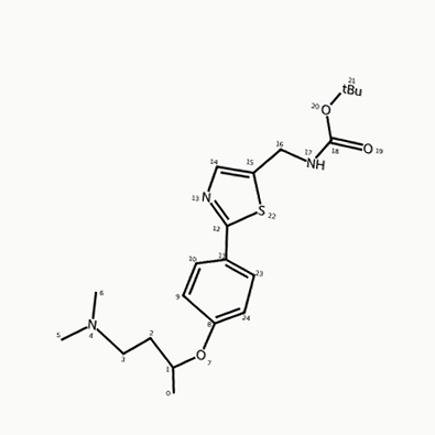 CC(CCN(C)C)Oc1ccc(-c2ncc(CNC(=O)OC(C)(C)C)s2)cc1